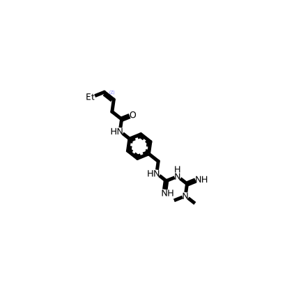 CC/C=C\CC(=O)Nc1ccc(CNC(=N)NC(=N)N(C)C)cc1